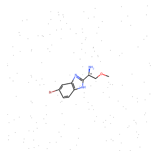 COC[C@H](N)c1nc2cc(Br)ccc2[nH]1